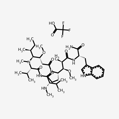 CC[C@H](C)[C@@H]([C@@H](CC(=O)N1CCC[C@H]1[C@H](OC)[C@@H](C)C(=O)N[C@@H](Cc1c[nH]c2ccccc12)C(N)=O)OC)N(C)[C@H](C(=O)NC(=O)[C@@H](NC)C(C)C)C(C)C.O=C(O)C(F)(F)F